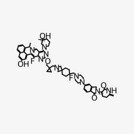 C=C1CC[C@H](N2Cc3cc(N4CCN(CC5(F)CCC6(CC5)CN(CC5(COc7nc(N8CCC[C@@](C)(O)C8)c8cnc(-c9cc(O)cc%10cccc(CC)c9%10)c(F)c8n7)CC5)C6)CC4)ccc3C2=O)C(=O)N1